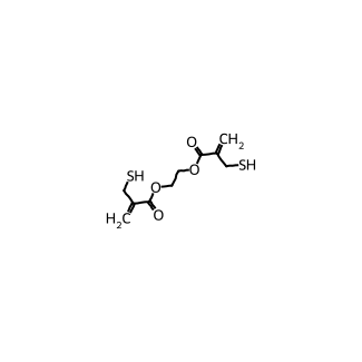 C=C(CS)C(=O)OCCOC(=O)C(=C)CS